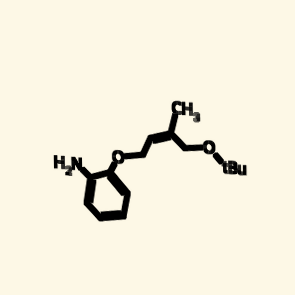 CC(=CCOc1ccccc1N)COC(C)(C)C